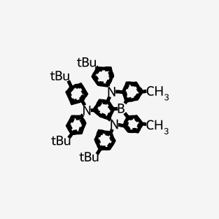 Cc1ccc2c(c1)B1c3cc(C)ccc3N(c3ccc(C(C)(C)C)cc3)c3cc(N(c4ccc(C(C)(C)C)cc4)c4ccc(C(C)(C)C)cc4)cc(c31)N2c1ccc(C(C)(C)C)cc1